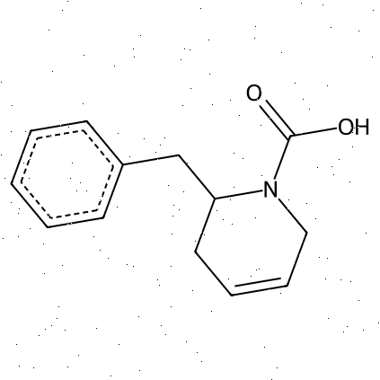 O=C(O)N1CC=CCC1Cc1ccccc1